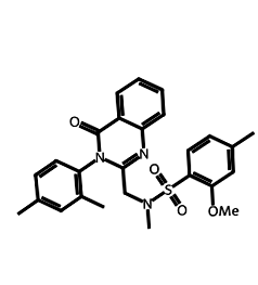 COc1cc(C)ccc1S(=O)(=O)N(C)Cc1nc2ccccc2c(=O)n1-c1ccc(C)cc1C